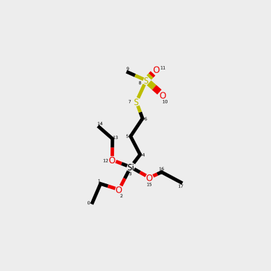 CCO[Si](CCCSS(C)(=O)=O)(OCC)OCC